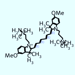 COc1ccc2c(c1)C(C)(C)C(/C=C/C=C/C=C/C=C1/N(CCC[N+](C)(C)C)c3ccc(OC)cc3C1(C)C)=[N+]2CCC[N+](C)(C)N